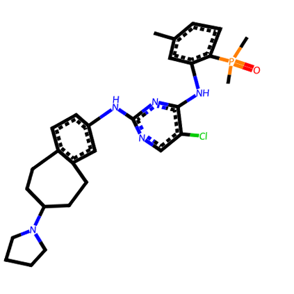 Cc1ccc(P(C)(C)=O)c(Nc2nc(Nc3ccc4c(c3)CCC(N3CCCC3)CC4)ncc2Cl)c1